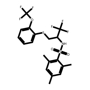 Cc1cc(C)c(S(=O)(=O)NC(CSc2ccccc2OC(F)(F)F)C(F)(F)F)c(C)c1